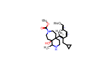 CO/C=C(C)/C=C\C(CC1CC1)=C(/C)C12CCNC(C)C1(O)CCN(C(=O)OC(C)(C)C)CC2